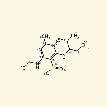 CCNC1=NC(C)N(S)C(NC(CC)CC)=C1[N+](=O)[O-]